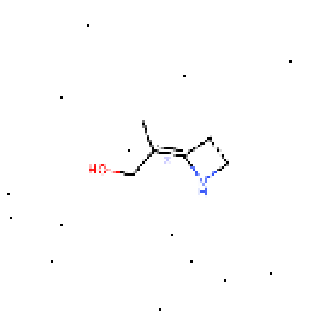 C/C(CO)=C1\CCN1